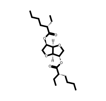 CCCC[C@H](CC)C(=O)O[C@H]1CO[C@H]2[C@@H]1OC[C@H]2OC(=O)[C@@H](CC)CCCC